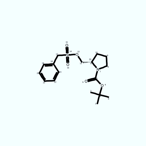 CC(C)(C)OC(=O)N1CCC[C@H]1COS(=O)(=O)Cc1ccccc1